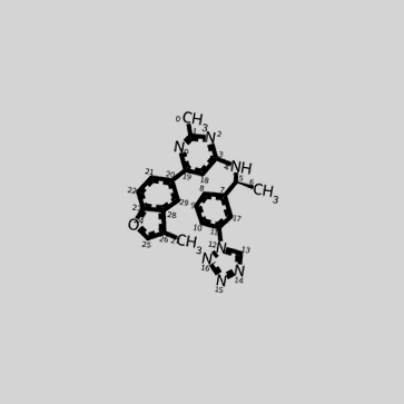 Cc1nc(N[C@@H](C)c2cccc(-n3cnnn3)c2)cc(-c2ccc3occ(C)c3c2)n1